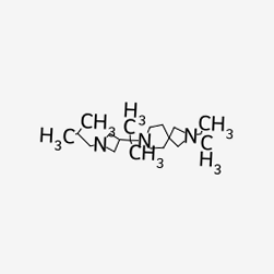 CC(C)CN1CC(C(C)(C)N2CCC3(CC2)CN(C(C)C)C3)C1